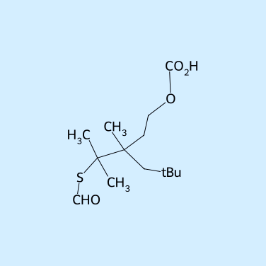 CC(C)(C)CC(C)(CCOC(=O)O)C(C)(C)SC=O